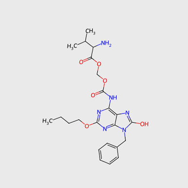 CCCCOc1nc(NC(=O)OCOC(=O)C(N)C(C)C)c2nc(O)n(Cc3ccccc3)c2n1